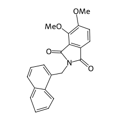 COc1ccc2c(c1OC)C(=O)N(Cc1cccc3ccccc13)C2=O